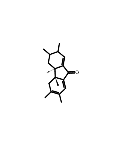 CC1=C(C)C[C@@]2(C)C(=C1)C(=O)C1=CC(C)C(C)C[C@@]12C